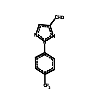 O=Cc1cnn(-c2ccc(C(F)(F)F)cc2)n1